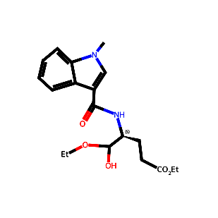 CCOC(=O)CC[C@H](NC(=O)c1cn(C)c2ccccc12)C(O)OCC